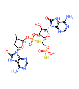 CC1C[C@H](n2c(=O)[nH]c3c(N)ncnc32)O[C@@H]1OP(=O)(S)O[C@H]1C(O)[C@H](n2c(=O)[nH]c3c(N)ncnc32)O[C@@H]1COP(=O)(O)S